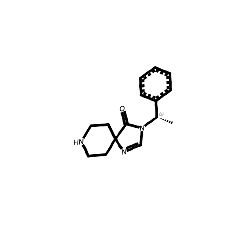 C[C@@H](c1ccccc1)N1C=NC2(CCNCC2)C1=O